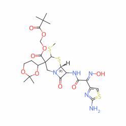 CSC1S[C@@H]2C(NC(=O)C(=NO)c3csc(N)n3)C(=O)N2CC1(C(=O)OCOC(=O)C(C)(C)C)C1CCOC(C)(C)O1